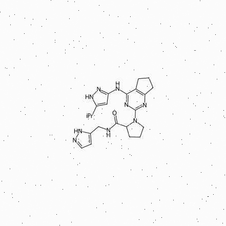 CC(C)c1cc(Nc2nc(N3CCCC3C(=O)NCc3ccn[nH]3)nc3c2CCC3)n[nH]1